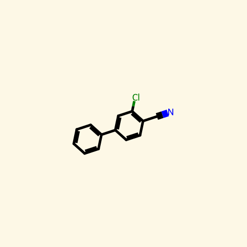 N#Cc1ccc(-c2ccccc2)cc1Cl